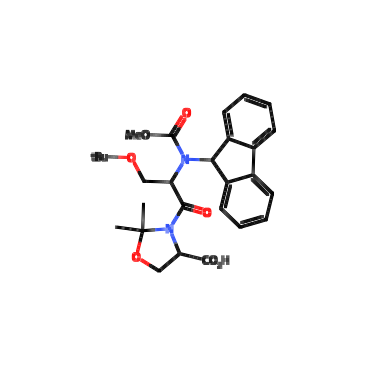 COC(=O)N(C(COC(C)(C)C)C(=O)N1C(C(=O)O)COC1(C)C)C1c2ccccc2-c2ccccc21